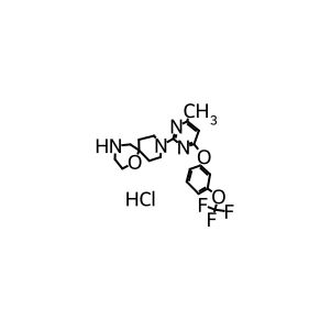 Cc1cc(Oc2cccc(OC(F)(F)F)c2)nc(N2CCC3(CC2)CNCCO3)n1.Cl